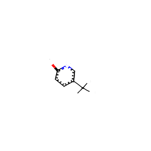 CC(C)(C(=O)O)c1ccc(=O)[nH]c1